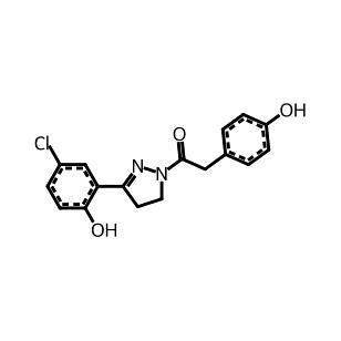 O=C(Cc1ccc(O)cc1)N1CCC(c2cc(Cl)ccc2O)=N1